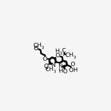 COCCCOc1cc2c(nc1OC)-c1[nH]c(=O)c(C(=O)O)cc1[C@@H](C(C)C)O2